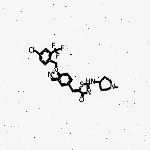 CN1CCC(NC2=NC(=O)/C(=C/c3ccc4c(cnn4Cc4ccc(Cl)cc4C(F)(F)F)c3)S2)CC1